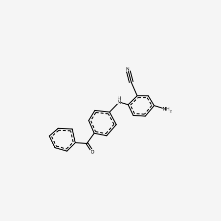 N#Cc1cc(N)ccc1Nc1ccc(C(=O)c2ccccc2)cc1